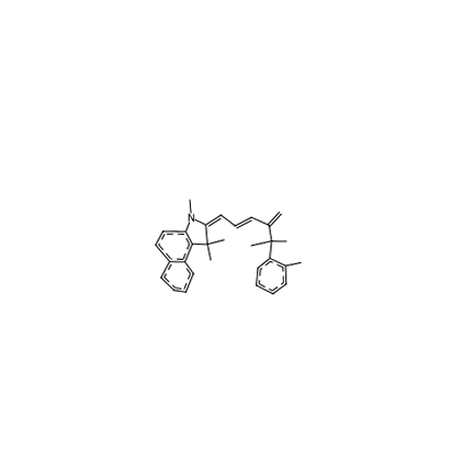 C=C(/C=C/C=C1/N(C)c2ccc3ccccc3c2C1(C)C)C(C)(C)c1ccccc1C